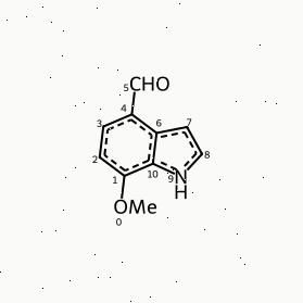 COc1ccc(C=O)c2cc[nH]c12